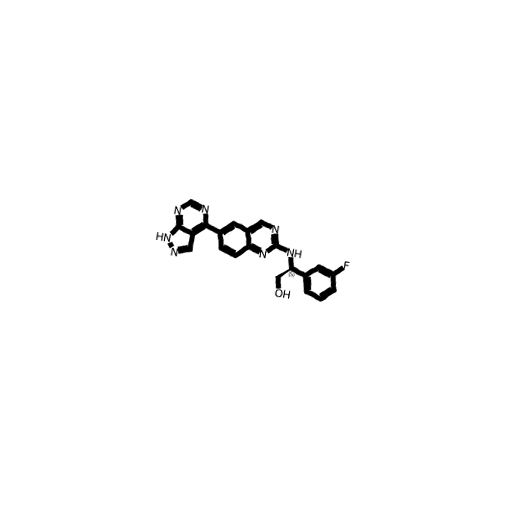 OC[C@@H](Nc1ncc2cc(-c3ncnc4[nH]ncc34)ccc2n1)c1cccc(F)c1